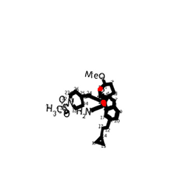 COC1CCC2(CC1)Cc1ccc(CCC3CC3)cc1C21N=C(N)N(CC2CCN(S(C)(=O)=O)CC2)C1=O